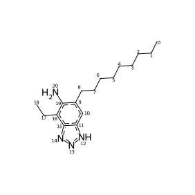 CCCCCCCCCc1cc2[nH]nnc2c(CC)c1N